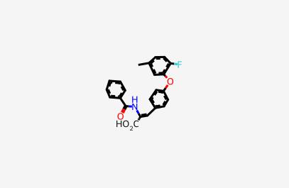 Cc1ccc(F)c(Oc2ccc(C=C(NC(=O)c3ccccc3)C(=O)O)cc2)c1